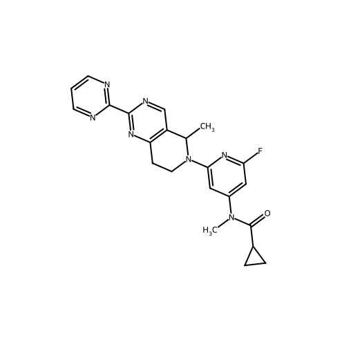 CC1c2cnc(-c3ncccn3)nc2CCN1c1cc(N(C)C(=O)C2CC2)cc(F)n1